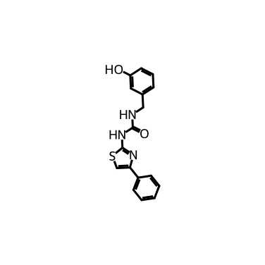 O=C(NCc1cccc(O)c1)Nc1nc(-c2ccccc2)cs1